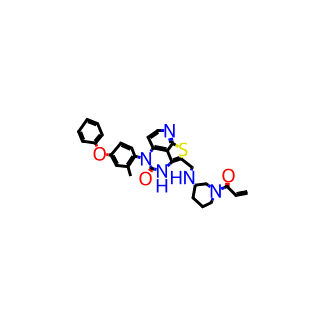 C=CC(=O)N1CCCC(NCc2sc3nccc4c3c2NC(=O)N4c2ccc(Oc3ccccc3)cc2C)C1